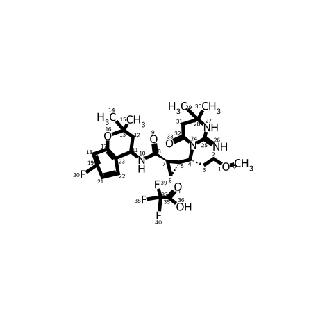 COCC[C@H]([C@@H]1C[C@H]1C(=O)NC1CC(C)(C)Oc2cc(F)ccc21)N1C(=N)NC(C)(C)CC1=O.O=C(O)C(F)(F)F